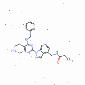 CCC(=O)NCc1cccc2c1cnn2-c1nc2c(c(NCc3ccccc3)n1)CCNC2